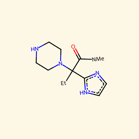 CCC(C(=O)NC)(c1ncc[nH]1)N1CCNCC1